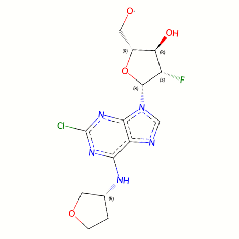 [O]C[C@H]1O[C@@H](n2cnc3c(N[C@@H]4CCOC4)nc(Cl)nc32)[C@@H](F)[C@@H]1O